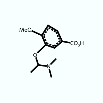 COc1ccc(C(=O)O)cc1OC(C)N(C)C